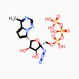 Cc1ncnn2c([C@@H]3O[C@@](COP(=O)(O)OP(=O)(O)OP(=O)(O)O)(N=[N+]=[N-])[C@@H](O)[C@H]3O)ccc12